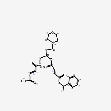 CC(OC(=O)/C=C/C(=O)OC(CCN1CCOCC1)COC(=O)/C=C/C(=O)O)c1ccccc1